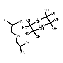 CCCCC(CC)[CH2][Sn][CH2]C(CC)CCCC.OC(O)(O)C(O)(O)O.OC(O)(O)C(O)(O)O